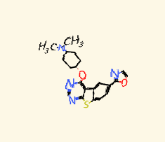 CN(C)[C@H]1CC[C@H](Oc2ncnc3sc4ccc(-c5ncco5)cc4c23)CC1